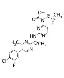 Cc1nc([C@H](C)Nc2nccc(N3C(=O)OC[C@@H]3[C@H](C)F)n2)ncc1-c1ccc(Cl)c(F)c1